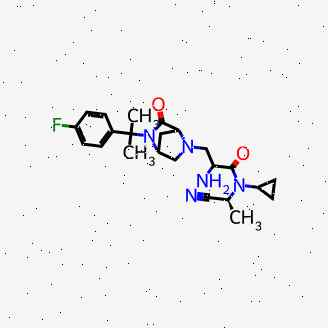 C[C@@H](C#N)N(C(=O)C(N)CN1CC2CC1C(=O)N2C(C)(C)c1ccc(F)cc1)C1CC1